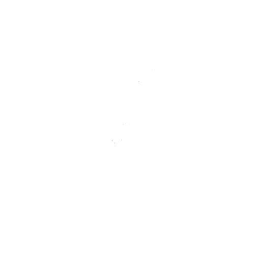 Cc1cc(OC2CCC(C(C)(C)C)CC2)c(CN2CCC(CC(=O)O)CC2)c2ccccc12